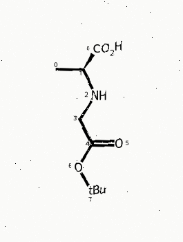 C[C@H](NCC(=O)OC(C)(C)C)C(=O)O